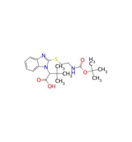 CC(C)(C)OC(=O)NCCSc1nc2ccccc2n1C(C(=O)O)C(C)(C)C